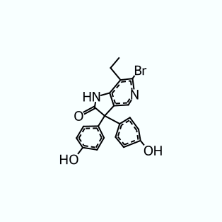 CCc1c(Br)ncc2c1NC(=O)C2(c1ccc(O)cc1)c1ccc(O)cc1